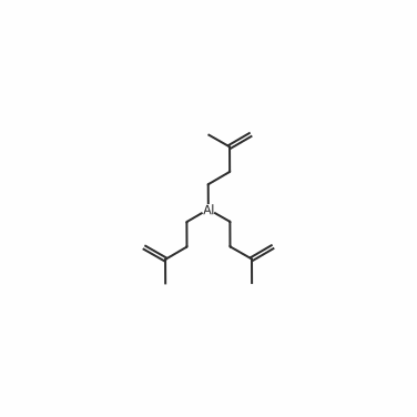 C=C(C)C[CH2][Al]([CH2]CC(=C)C)[CH2]CC(=C)C